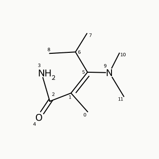 CC(C(N)=O)=C(C(C)C)N(C)C